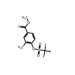 COC(=O)c1ccc(OS(=O)(=O)C(F)(F)F)c(C)c1